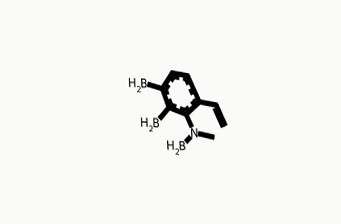 Bc1ccc(C=C)c(N(B)C)c1B